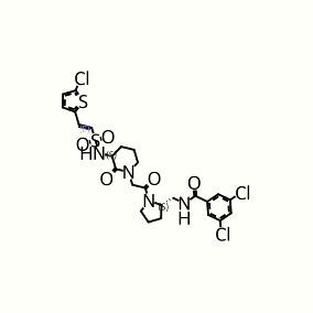 O=C(NC[C@@H]1CCCN1C(=O)CN1CCC[C@H](NS(=O)(=O)/C=C/c2ccc(Cl)s2)C1=O)c1cc(Cl)cc(Cl)c1